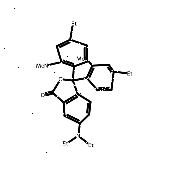 CCc1ccc(C2(c3ccc(CC)cc3NC)OC(=O)c3cc(N(CC)CC)ccc32)c(NC)c1